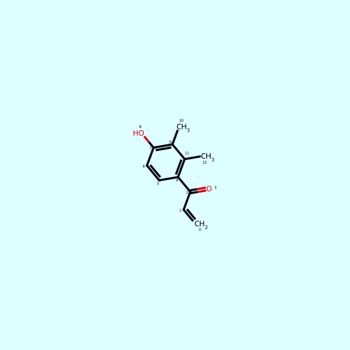 C=CC(=O)c1ccc(O)c(C)c1C